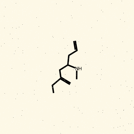 C=CCC(CC(=C)CC)NC